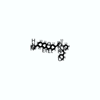 CCC1(CC)c2ccc(C3=CN(C)C([C@@H]4CCCN4C(=O)CC4CCOCC4)N3)cc2Oc2cc3ccc(-c4cnc[nH]4)cc3cc21